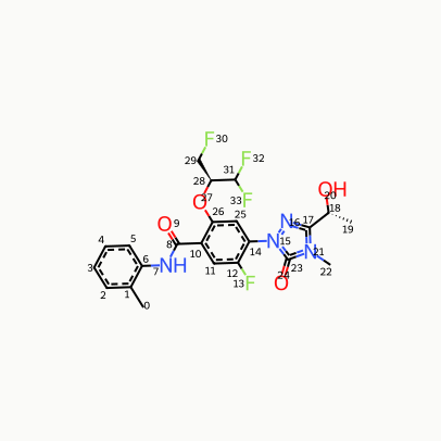 Cc1ccccc1NC(=O)c1cc(F)c(-n2nc([C@@H](C)O)n(C)c2=O)cc1O[C@@H](CF)C(F)F